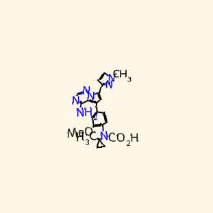 COc1cc(-c2cc(-c3ccn(C)n3)n3ncnc(N)c23)ccc1N(C(=O)O)C1(C)CC1